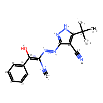 [C-]#[N+]C(/N=N/c1n[nH]c(C(C)(C)C)c1C#N)=C(/O)c1ccccc1